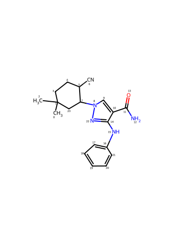 CC1(C)CCC(C#N)C(n2cc(C(N)=O)c(Nc3ccccc3)n2)C1